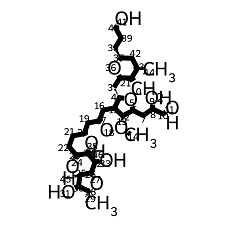 C=C1C(C[C@@H]2OC(CC(O)CO)[C@H](OC)C2CC(=O)CC2CCC3O[C@@H]4C(O[C@H](C)C4O)C(O)[C@H]3O2)O[C@@H](CCCO)C[C@H]1C